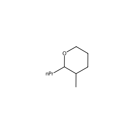 CCCC1OCCCC1C